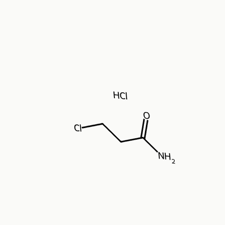 Cl.NC(=O)CCCl